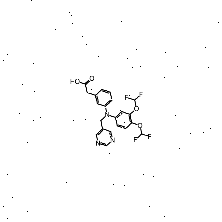 O=C(O)Cc1cccc(N(Cc2cncnc2)c2ccc(OC(F)F)c(OC(F)F)c2)c1